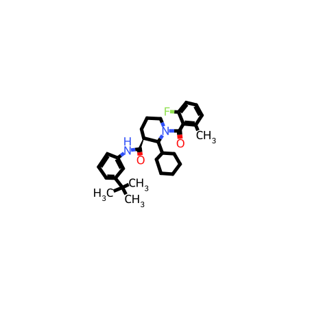 Cc1cccc(F)c1C(=O)N1CCC[C@H](C(=O)Nc2cccc(C(C)(C)C)c2)C1C1CCCCC1